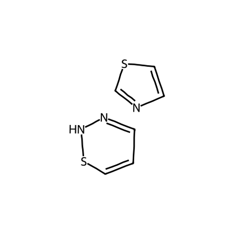 C1=CSNN=C1.c1cscn1